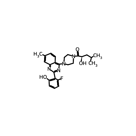 Cc1ccc2c(N3CCN(C(=O)[C@H](O)CC(C)C)CC3)nc(-c3c(O)cccc3F)nc2c1